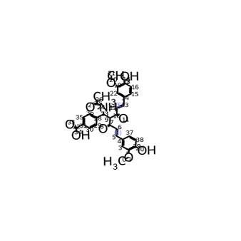 COc1cc(/C=C/C(=O)C(C(=O)/C=C/c2ccc(O)c(OC)c2)C(NC(C)=O)c2ccc(C(=O)O)cc2)ccc1O